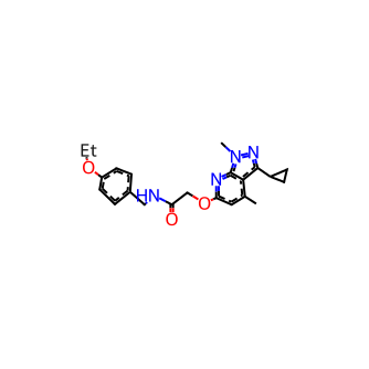 CCOc1ccc(CNC(=O)COc2cc(C)c3c(C4CC4)nn(C)c3n2)cc1